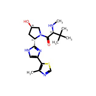 CN[C@H](C(=O)N1C[C@H](O)C[C@H]1c1nc(-c2scnc2C)c[nH]1)C(C)(C)C